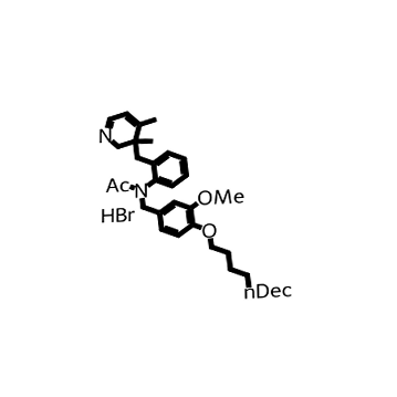 Br.CCCCCCCCCCCCCCOc1ccc(CN(C(C)=O)c2ccccc2CC2(C)CN=CC=C2C)cc1OC